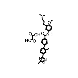 COc1ccc(NC(=O)c2ccc(-c3ccc(-c4noc(C)n4)cc3C)cc2)cc1CCCN(C)C.O=C(O)C(=O)O